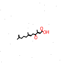 C=C(C)CCC/C(C)=C/CC(=O)/C(C)=C/C(=O)O